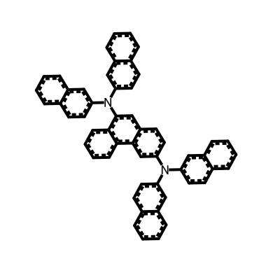 c1ccc2cc(N(c3ccc4ccccc4c3)c3ccc4cc(N(c5ccc6ccccc6c5)c5ccc6ccccc6c5)c5ccccc5c4c3)ccc2c1